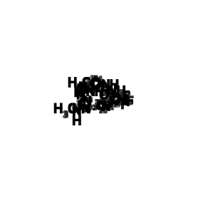 CNc1cc(-n2ncnc2Nc2cc(NC(=O)Nc3cc(CN4CCCC4)cc(C(F)(F)F)c3)ccc2C)ncn1